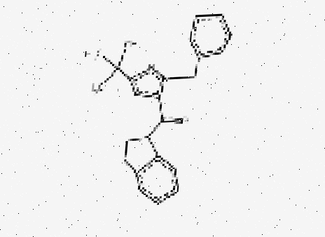 CC(C)(C)c1cc(C(=O)C2CCc3ccccc32)n(Cc2ccccc2)n1